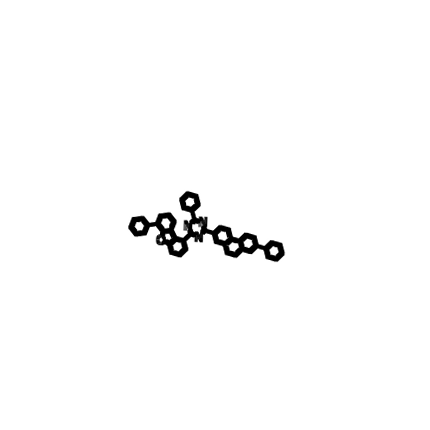 c1ccc(-c2ccc3c(ccc4cc(-c5nc(-c6ccccc6)nc(-c6cccc7oc8c(-c9ccccc9)cccc8c67)n5)ccc43)c2)cc1